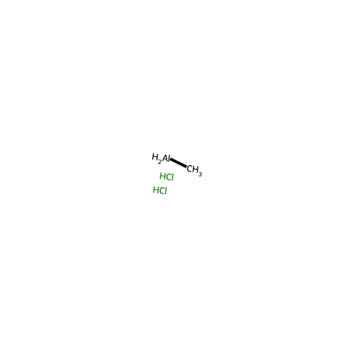 Cl.Cl.[CH3][AlH2]